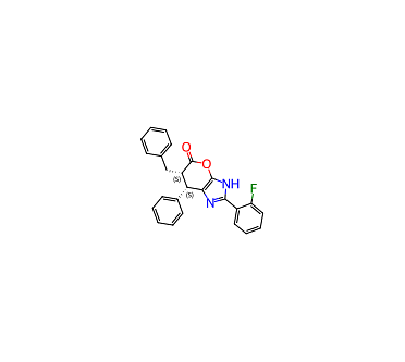 O=C1Oc2[nH]c(-c3ccccc3F)nc2[C@H](c2ccccc2)[C@@H]1Cc1ccccc1